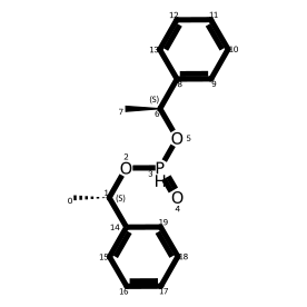 C[C@H](O[PH](=O)O[C@@H](C)c1ccccc1)c1ccccc1